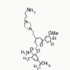 C=C(C)c1cc(C)c(C(N)=O)c(OCCCC(CCN2CCCN(CCCN)CC2)CC(=O)c2cc(CC)c(CC)c(OC)c2)c1